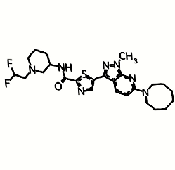 Cn1nc(-c2cnc(C(=O)NC3CCCN(CC(F)F)C3)s2)c2ccc(N3CCCCCCC3)nc21